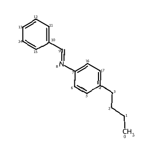 CCCCc1ccc(/N=C/c2ccccc2)cc1